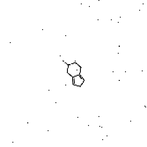 CC1CCC2=CCC=C2C1